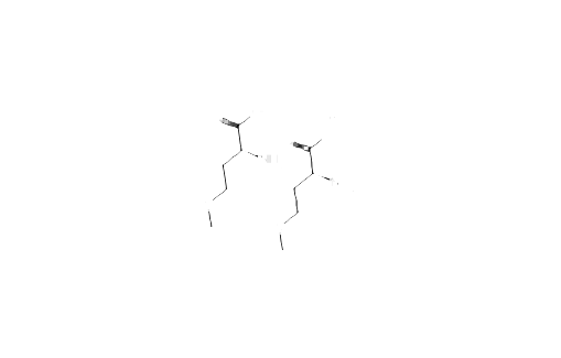 CSCC[C@H](N)C(=O)O.CSCC[C@H](N)C(=O)O.[Fe]